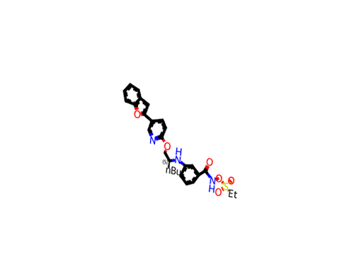 CCCC[C@@H](COc1ccc(-c2cc3ccccc3o2)cn1)Nc1cccc(C(=O)NOS(=O)(=O)CC)c1